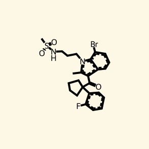 Cc1c(C(=O)C2(c3ccccc3F)CCCC2)c2cccc(Br)c2n1CCCNS(C)(=O)=O